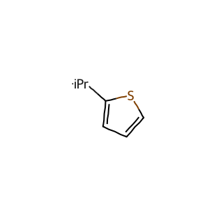 C[C](C)c1cccs1